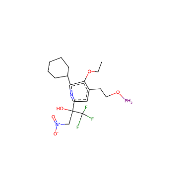 CCOc1c(CCOP)cc(C(O)(C[N+](=O)[O-])C(F)(F)F)nc1C1CCCCC1